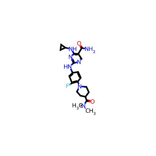 CN(C)C(=O)C1CCN(c2ccc(Nc3ncc(C(N)=O)c(NC4CC4)n3)cc2F)CC1